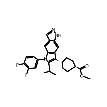 COC(=O)[C@H]1CC[C@H](c2c(C(C)C)n(-c3ccc(F)c(F)c3)c3cc4cn[nH]c4cc32)CC1